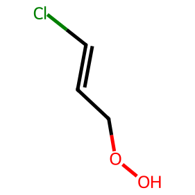 OOCC=CCl